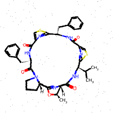 CC(C)[C@H]1NC(=O)[C@H]2N=C(O[C@@H]2C)[C@@H]2CCCN2C(=O)[C@H](Cc2ccccc2)NC(=O)c2csc(n2)[C@H](Cc2ccccc2)NC(=O)c2csc1n2